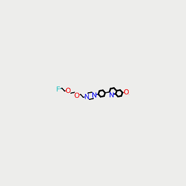 COc1ccc2nc(-c3ccc(N4CCN(CCOCCOCCF)CC4)cc3)ccc2c1